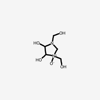 [O-][N+]1(CO)CN(CO)C(O)C1O